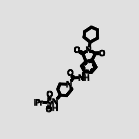 CC(C)S(=O)(=O)NC1CCN(C(=O)Nc2ccc3c(c2)C(=O)N(C2CCCCC2)C3=O)CC1